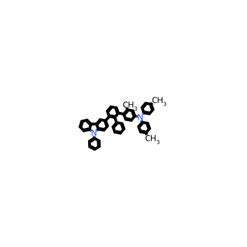 Cc1ccc(N(c2ccc(C)cc2)c2ccc(-c3cccc(-c4ccc5c(c4)c4ccccc4n5-c4ccccc4)c3-c3ccccc3)c(C)c2)cc1